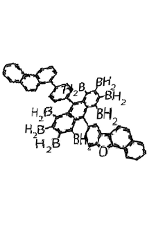 Bc1c(B)c(B)c2c(-c3ccc4oc5c6ccccc6ccc5c4c3)c3c(B)c(B)c(B)c(B)c3c(-c3ccc(-c4cccc5c4ccc4ccccc45)cc3)c2c1B